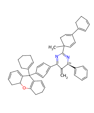 C=C1C(c2ccc(C3(C4=CCCCC4)C4=CC=CCC4OC4=C3C=CCC4)cc2)=NC(C2(C)C=CC(C3=CC=CCC3)=CC2)=N[C@H]1c1ccccc1